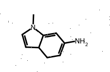 CN1C=CC2CC=C(N)C=C21